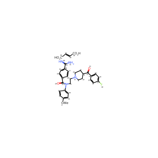 COc1ccc(N(CCN2CCC(C(=O)c3ccc(F)cc3)CC2)C(=O)c2ccc(C(=N)N)cc2)cc1.O=C(O)/C=C/C(=O)O